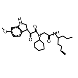 C=CCCC(CCC)NC(=O)CN(C(=O)C(=O)C1CNc2cc(OC)ccc21)C1CCCCC1